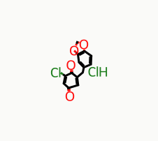 Cl.O=C1C=C(Cl)C(=O)C(Cc2ccc3c(c2)OCO3)=C1